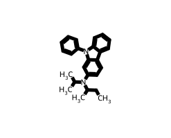 CCC(C)N(c1ccc2c3ccccc3n(-c3ccccc3)c2c1)C(C)C